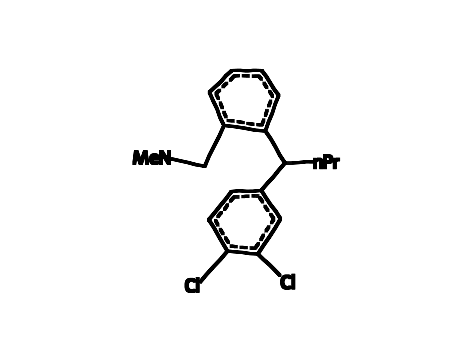 CCCC(c1ccc(Cl)c(Cl)c1)c1ccccc1CNC